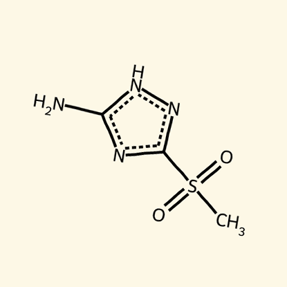 CS(=O)(=O)c1n[nH]c(N)n1